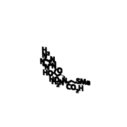 CSCC[C@@H](C(=O)O)N(N)C[C@H]1O[C@@H](n2cnc3c(N)ncnc32)[C@H](O)[C@@H]1O